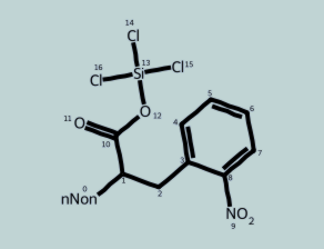 CCCCCCCCCC(Cc1ccccc1[N+](=O)[O-])C(=O)O[Si](Cl)(Cl)Cl